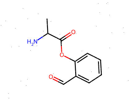 CC(N)C(=O)Oc1ccccc1C=O